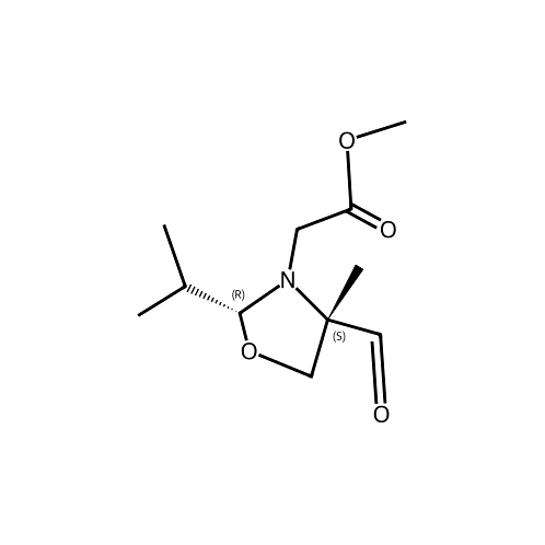 COC(=O)CN1[C@@H](C(C)C)OC[C@@]1(C)C=O